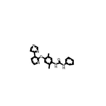 Cc1cc(Oc2ncccc2-c2ccncn2)c(C)cc1NC(=O)Nc1ccccc1